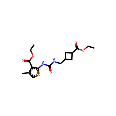 CCOC(=O)c1c(C)csc1NC(=O)NCC1CC(C(=O)OCC)C1